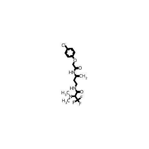 C=C(CCNC(=O)C(N(C)C)C(F)(F)F)NC(=O)COc1ccc(Cl)cc1